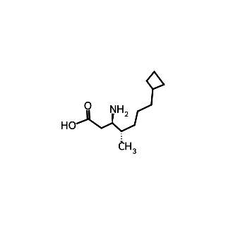 C[C@@H](CCCC1CCC1)[C@H](N)CC(=O)O